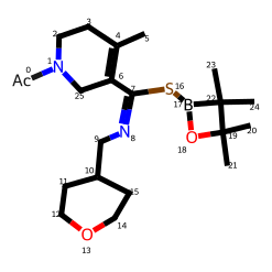 CC(=O)N1CCC(C)=C(/C(=N\CC2CCOCC2)SB2OC(C)(C)C2(C)C)C1